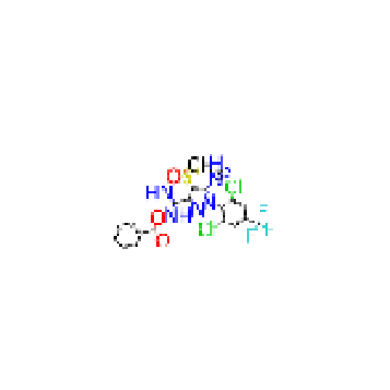 C[S+]([O-])c1c(C(=N)NOC(=O)c2ccccc2)nn(-c2c(Cl)cc(C(F)(F)F)cc2Cl)c1N